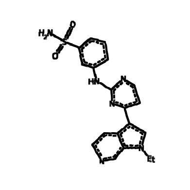 CCn1cc(-c2ccnc(Nc3cccc(S(N)(=O)=O)c3)n2)c2ccncc21